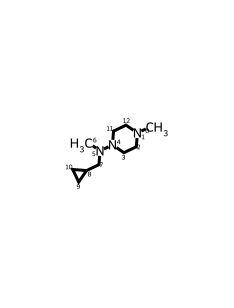 CN1CCN(N(C)CC2CC2)CC1